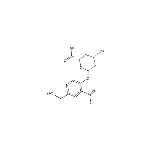 O=C(O)[C@@H]1C[C@H](O)C[C@H](Oc2ccc(CO)cc2[N+](=O)[O-])O1